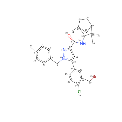 Cc1ccc(Cn2nc(C(=O)NC3C4(C)CCC(C4)C3(C)C)cc2-c2ccc(Cl)c(CBr)c2)cc1